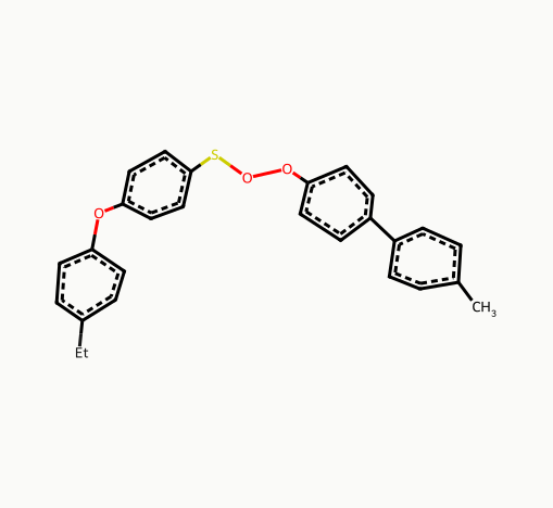 CCc1ccc(Oc2ccc(SOOc3ccc(-c4ccc(C)cc4)cc3)cc2)cc1